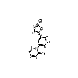 O=c1ccccn1-c1cncc(-c2cnc(Cl)o2)c1